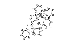 CN1c2cccc3c2B(c2ccccc2[Si]3(c2ccccc2)c2ccccc2)c2cccc(-c3ccccc3)c21